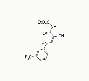 CCOC(=O)NC(=O)C(C#N)=CNc1cccc(C(F)(F)F)c1